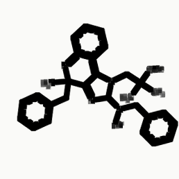 CCCN(Cc1ccccc1)C1N=C2C(=c3ccccc3=NC2(N)Cc2ccccc2)N1CC(C)(C)OC